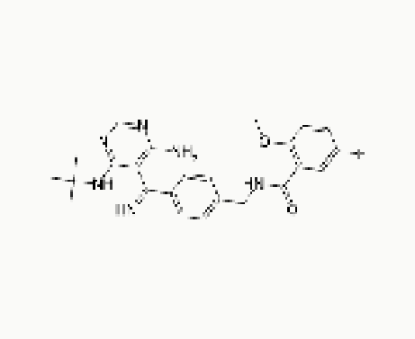 COc1ccc(F)cc1C(=O)NCc1ccc(C(=N)c2c(N)ncnc2NC(C)(C)C)cc1